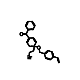 C=Cc1ccc(COC2(CCBr)C=CC(C(=O)c3ccccc3)=CC2)cc1